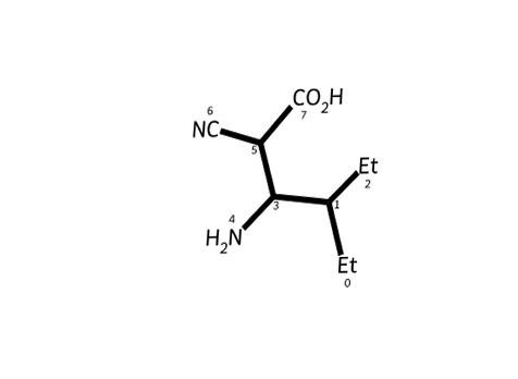 CCC(CC)C(N)C(C#N)C(=O)O